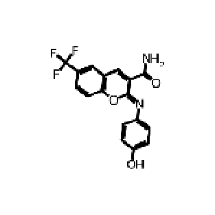 NC(=O)c1cc2cc(C(F)(F)F)ccc2o/c1=N\c1ccc(O)cc1